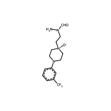 NN(C=O)CC[N+]1([O-])CCN(c2cccc(C(F)(F)F)c2)CC1